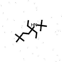 CCC(CC)(CCC(C)(C)C)NC(C)(C)C